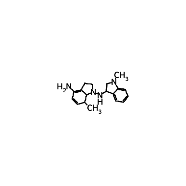 CC1C=CC(N)=C2CCN(NC3CN(C)c4ccccc43)C21